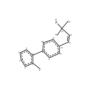 Cc1ccccc1-c1ccc(/C=C\C(C)(C)F)cc1